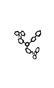 C1=CC(C2C=CC(c3cc(C4=CC(N5C6CCC=CC6C6C=CCCC65)CCC4)cc(C4CCCC(N5C6=C(CCCC6)C6CCCCC65)C4)c3)CC2)CCC1